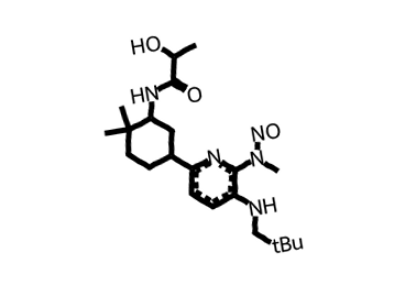 CC(O)C(=O)NC1CC(c2ccc(NCC(C)(C)C)c(N(C)N=O)n2)CCC1(C)C